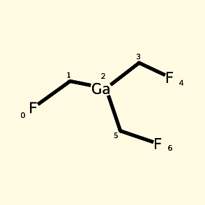 F[CH2][Ga]([CH2]F)[CH2]F